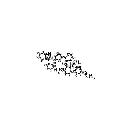 COc1ccc(-c2ccc(N)c3c2C(C)(C)c2cccc(-c4ccc(-c5nc6ccccc6n5-c5ccccc5)cc4)c2O3)cc1